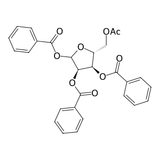 CC(=O)OC[C@H]1OC(OC(=O)c2ccccc2)[C@H](OC(=O)c2ccccc2)[C@@H]1OC(=O)c1ccccc1